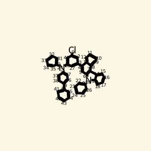 Clc1cc(-c2cc3c(c4ccccc24)c2ccccc2n3-c2ccccc2)cc(N(c2ccccc2)c2ccc(-c3ccccc3)cc2)c1